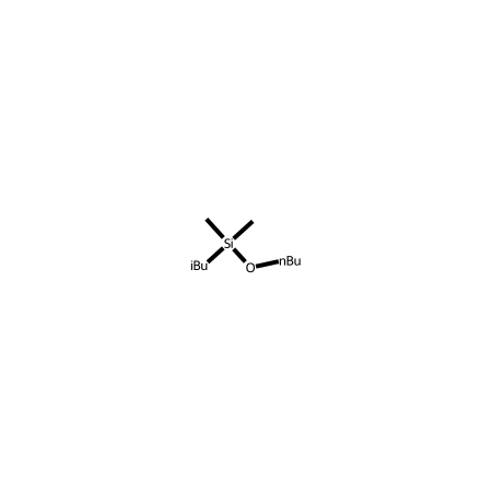 CCCCO[Si](C)(C)C(C)CC